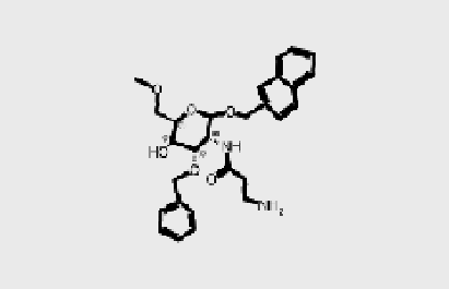 COC[C@H]1OC(OCc2ccc3ccccc3c2)[C@H](NC(=O)CCN)[C@H](OCc2ccccc2)[C@@H]1O